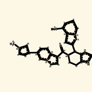 COc1cccn2nc(C3c4nc[nH]c4CCN3C(=O)c3cnn4cc(-c5ccn(C)n5)ccc34)cc12